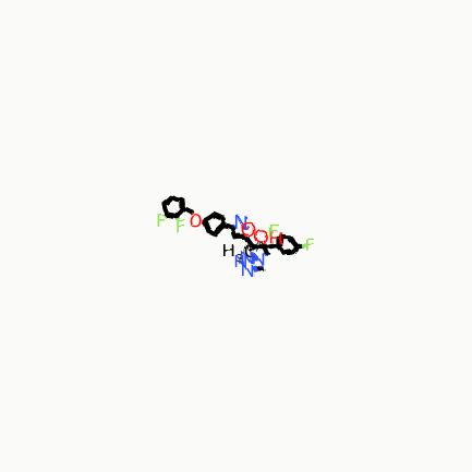 C[C@@H](c1cc(-c2ccc(OCc3cccc(F)c3F)cc2)no1)[C@](O)(Cn1cnnn1)c1ccc(F)cc1F